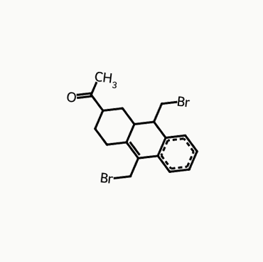 CC(=O)C1CCC2=C(CBr)c3ccccc3C(CBr)C2C1